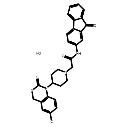 Cl.O=C(CN1CCC(N2C(=O)OCc3cc(Cl)ccc32)CC1)Nc1ccc2c(c1)C(=O)c1ccccc1-2